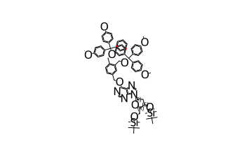 COc1ccc(C(OCc2ccc(COc3ncnc4c3ncn4[C@H]3C[C@H](O[Si](C)(C)C(C)(C)C)[C@@H](CO[Si](C)(C)C(C)(C)C)O3)cc2COC(c2ccccc2)(c2ccc(OC)cc2)c2ccc(OC)cc2)(c2ccccc2)c2ccc(OC)cc2)cc1